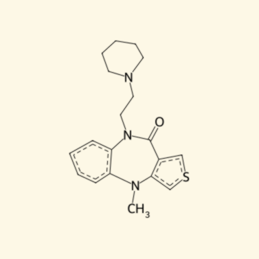 CN1c2cscc2C(=O)N(CCN2CCCCC2)c2ccccc21